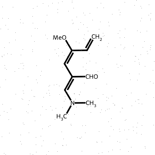 C=C/C(=C\C(C=O)=C\N(C)C)OC